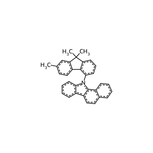 Cc1ccc2c(c1)C(C)(C)c1cccc(-n3c4ccccc4c4ccc5ccccc5c43)c1-2